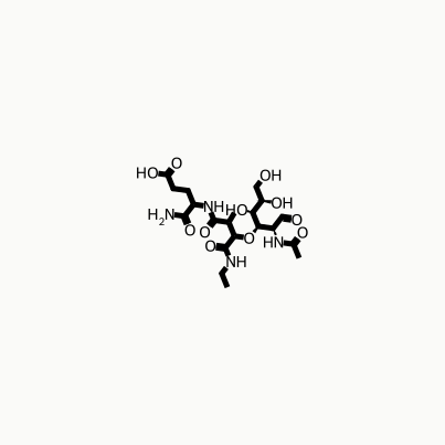 CCNC(=O)C(O[C@@H]([C@H](O)[C@H](O)CO)[C@H](C=O)NC(C)=O)C(C)C(=O)NC(CCC(=O)O)C(N)=O